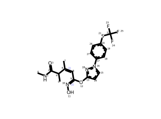 CNC(=O)C(C)/C(C)=C\C(=N\O)Oc1ccn(-c2ccc(SC(F)(F)F)cc2)n1